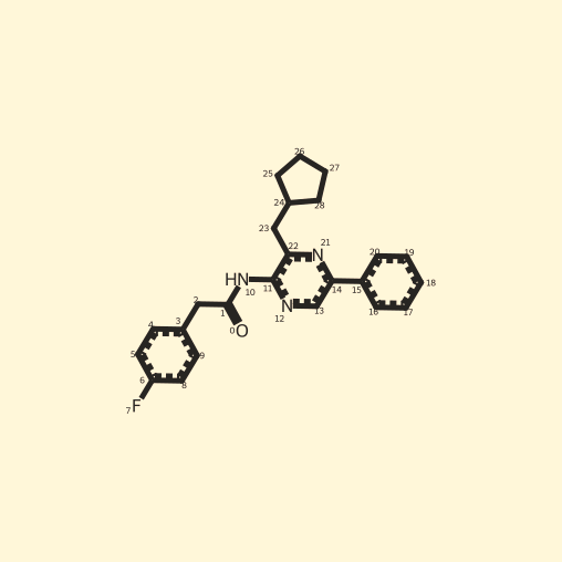 O=C(Cc1ccc(F)cc1)Nc1ncc(-c2ccccc2)nc1CC1CCCC1